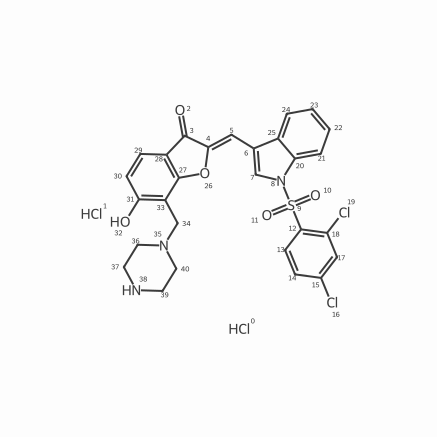 Cl.Cl.O=C1C(=Cc2cn(S(=O)(=O)c3ccc(Cl)cc3Cl)c3ccccc23)Oc2c1ccc(O)c2CN1CCNCC1